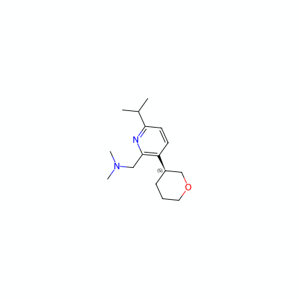 CC(C)c1ccc([C@@H]2CCCOC2)c(CN(C)C)n1